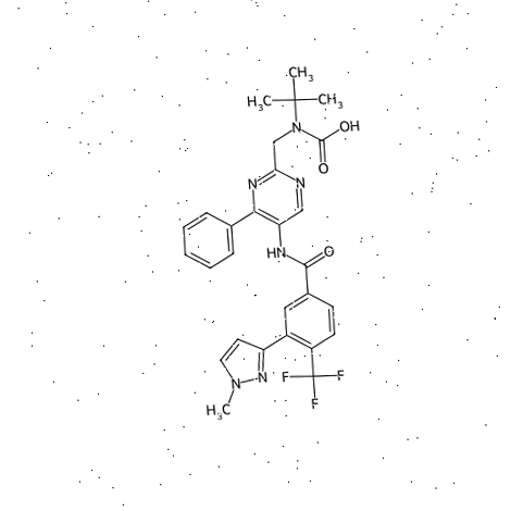 Cn1ccc(-c2cc(C(=O)Nc3cnc(CN(C(=O)O)C(C)(C)C)nc3-c3ccccc3)ccc2C(F)(F)F)n1